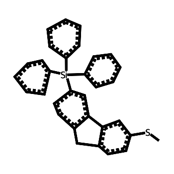 CSc1ccc2c(c1)-c1cc([Si](c3ccccc3)(c3ccccc3)c3ccccc3)ccc1C2